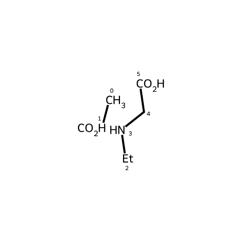 CC(=O)O.CCNCC(=O)O